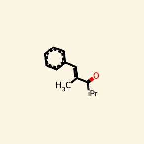 C/C(=C\c1ccccc1)C(=O)C(C)C